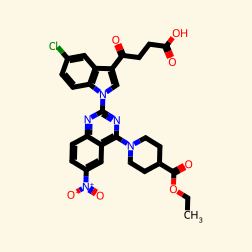 CCOC(=O)C1CCN(c2nc(-n3cc(C(=O)CCC(=O)O)c4cc(Cl)ccc43)nc3ccc([N+](=O)[O-])cc23)CC1